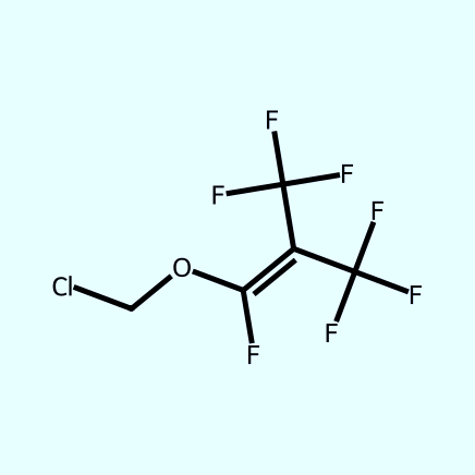 FC(OCCl)=C(C(F)(F)F)C(F)(F)F